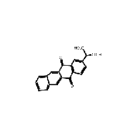 O=C1c2ccc(C(C(=O)O)C(=O)O)cc2C(=O)c2cc3ccccc3cc21